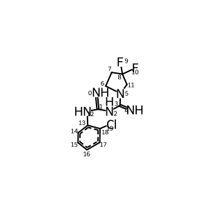 N=C(NC(=N)N1CCC(F)(F)C1)Nc1ccccc1Cl